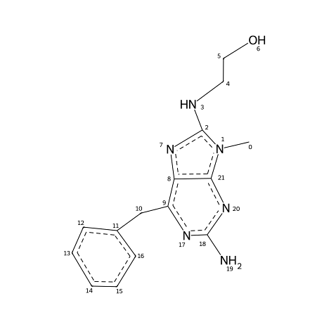 Cn1c(NCCO)nc2c(Cc3ccccc3)nc(N)nc21